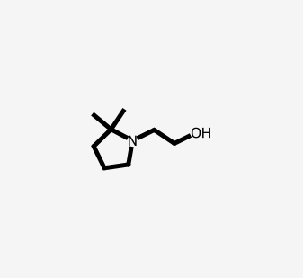 CC1(C)CCCN1CCO